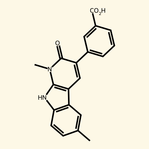 Cc1ccc2[nH]c3c(cc(-c4cccc(C(=O)O)c4)c(=O)n3C)c2c1